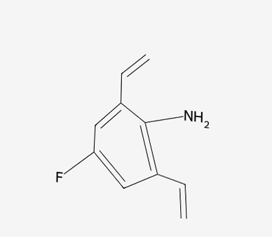 C=Cc1cc(F)cc(C=C)c1N